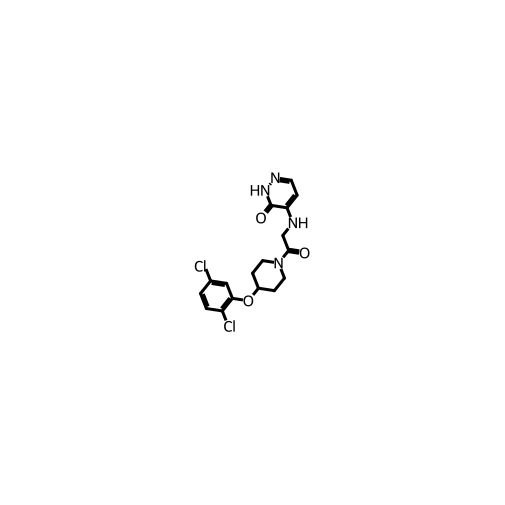 O=C(CNc1ccn[nH]c1=O)N1CCC(Oc2cc(Cl)ccc2Cl)CC1